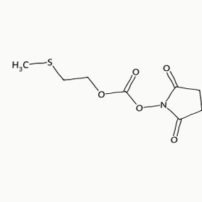 CSCCOC(=O)ON1C(=O)CCC1=O